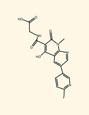 Cn1c(=O)c(C(=O)NCC(=O)O)c(O)c2cc(-c3ccc(F)nc3)cnc21